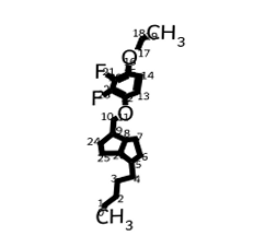 CCCCCC1CCC2C(COc3ccc(OCCC)c(F)c3F)CCC12